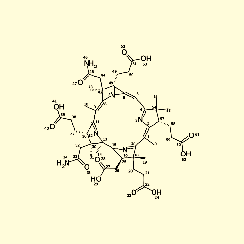 C/C1=C2N=C(/C=C3\N/C(=C(/C)C4=N[C@@](C)(C5N=C1[C@](C)(CCC(=O)O)[C@H]5CC(=O)O)[C@@](C)(CC(N)=O)[C@@H]4CCC(=O)O)[C@@](C)(CC(N)=O)[C@@H]3CCC(=O)O)C(C)(C)[C@@H]/2CCC(=O)O